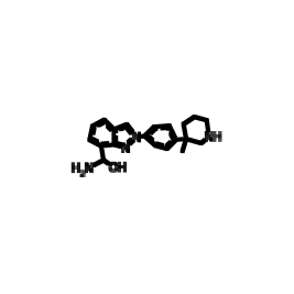 CC1(c2ccc(-n3cc4cccc(C(N)O)c4n3)cc2)CCCNC1